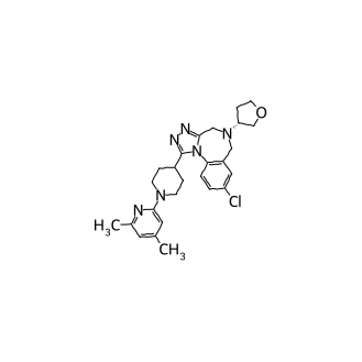 Cc1cc(C)nc(N2CCC(c3nnc4n3-c3ccc(Cl)cc3CN([C@@H]3CCOC3)C4)CC2)c1